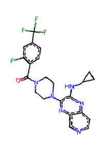 O=C(c1ccc(C(F)(F)F)cc1F)N1CCN(c2nc3cnccc3nc2NC2CC2)CC1